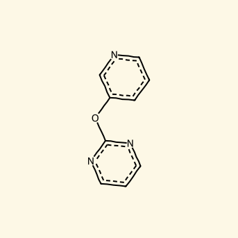 c1cnc(Oc2cccnc2)nc1